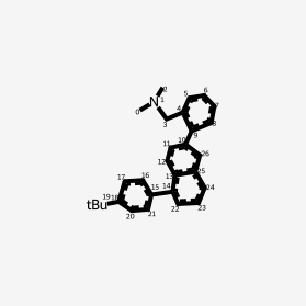 CN(C)Cc1ccccc1-c1ccc2c(-c3ccc(C(C)(C)C)cc3)cccc2c1